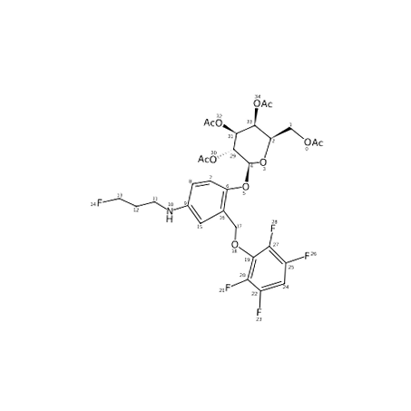 CC(=O)OC[C@H]1O[C@@H](Oc2ccc(NCCCF)cc2COc2c(F)c(F)cc(F)c2F)[C@H](OC(C)=O)[C@@H](OC(C)=O)[C@H]1OC(C)=O